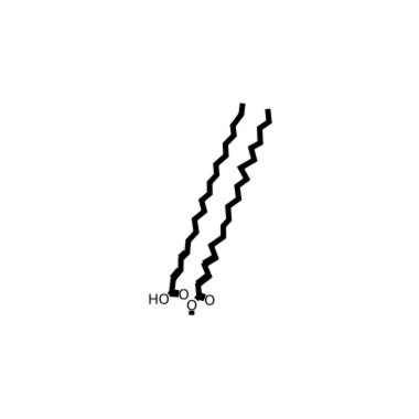 CCCCCCCCCCCCCCC/C=C/C=C/C(=O)O.CCCCCCCCCCCCCCC/C=C/C=C/C(=O)OC